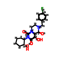 O=C1c2c(O)c(=O)n([C@@H]3CCCC[C@H]3O)c(=O)n2CCN1Cc1ccc(F)cc1